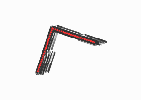 [Cu+2].[Cu+2].[Cu+2].[Cu+2].[Cu+2].[Cu+2].[Cu+2].[Cu+2].[Cu+2].[Cu+2].[Cu+2].[Cu+2].[Cu+2].[Cu+2].[Cu+2].[Cu+2].[Cu+2].[Cu+2].[Cu+2].[Cu+2].[Cu+2].[Cu+2].[Cu+2].[Cu+2].[Cu+2].[Cu+2].[Cu+2].[Cu+2].[Cu+2].[Cu+2].[Cu+2].[Cu+2].[Cu+2].[Cu+2].[Cu+2].[Cu+2].[Cu+2].[Cu+2].[Cu+2].[Cu+2].[O-2].[O-2].[O-2].[O-2].[O-2].[O-2].[O-2].[O-2].[O-2].[O-2].[O-2].[O-2].[O-2].[O-2].[O-2].[O-2].[O-2].[O-2].[O-2].[O-2].[O-2].[O-2].[O-2].[O-2].[O-2].[O-2].[O-2].[O-2].[O-2].[O-2].[O-2].[O-2].[O-2].[O-2].[O-2].[O-2].[O-2].[O-2].[O-2].[O-2].[O-2].[O-2].[O-2].[O-2].[O-2].[O-2].[O-2].[O-2].[O-2].[O-2]